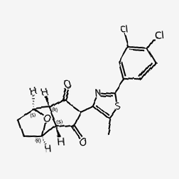 Cc1sc(-c2ccc(Cl)c(Cl)c2)nc1C1C(=O)[C@@H]2[C@H](C1=O)[C@H]1CC[C@@H]2O1